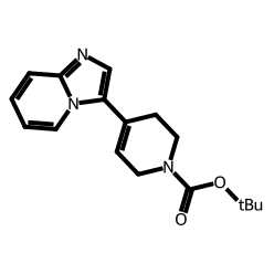 CC(C)(C)OC(=O)N1CC=C(c2cnc3ccccn23)CC1